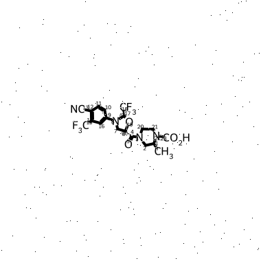 CC1CN(C(=O)[C@@H]2CN(c3ccc(C#N)c(C(F)(F)F)c3)[C@@H](C(F)(F)F)O2)CCN1C(=O)O